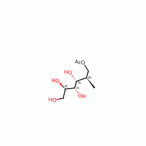 CC(=O)OC[C@@H](C)[C@@H](O)[C@H](O)[C@H](O)CO